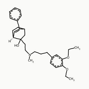 CCOc1ccc(CCCN(C)CCC2(O)CC3CC[C@H]2C=C3c2ccccc2)cc1OCC